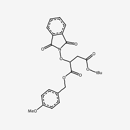 COc1ccc(COC(=O)C(CC(=O)OC(C)(C)C)ON2C(=O)c3ccccc3C2=O)cc1